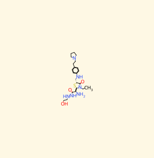 CCN1C(=O)[C@@H](CNc2ccc(CCN3CCCC3)cc2)S/C1=C(/N)C(=O)NNCCO